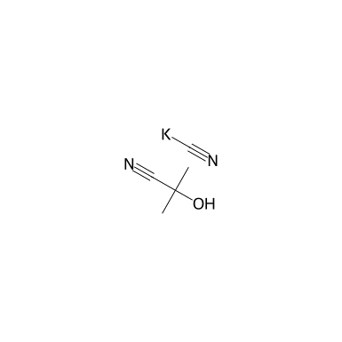 CC(C)(O)C#N.N#[C][K]